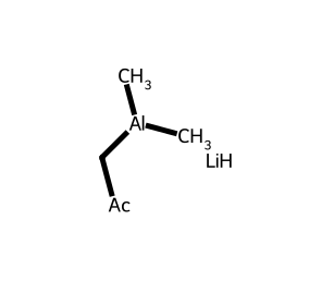 CC(=O)[CH2][Al]([CH3])[CH3].[LiH]